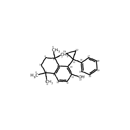 CC1(C)CCC(C)(C)c2c1ccc(O)c2C1(c2[c]cccc2)CC1